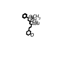 C[SiH](C)OC(CCCC(C=CC1CCCC(=O)C1)C(C)(C)C)c1ccccc1